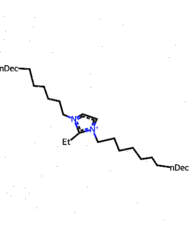 CCCCCCCCCCCCCCCCC[n+]1ccn(CCCCCCCCCCCCCCCC)c1CC